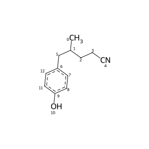 CC(CCC#N)Cc1ccc(O)cc1